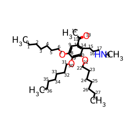 CCCCCCCOc1cc(C(C)=O)c(CCCNC)c(OCCCCCCC)c1OCCCCCCC